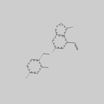 C=Cc1cc(OCc2ccc(Cl)cc2Cl)cc2scc(OC(C)=O)c12